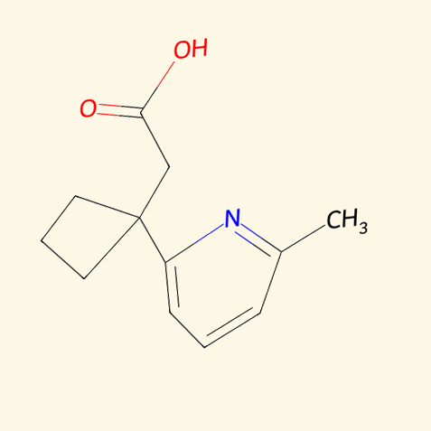 Cc1cccc(C2(CC(=O)O)CCC2)n1